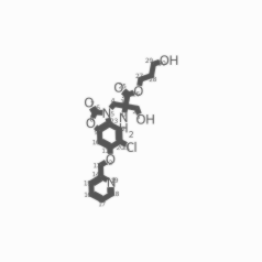 NC(CO)(Cn1c(=O)oc2cc(OCc3ccccn3)c(Cl)cc21)C(=O)OCCCO